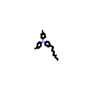 CCCCCCCCc1ccc(N(c2ccc(C)cc2)c2ccc(C)cc2)cc1